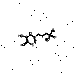 C[C@@H](N[S+]([O-])CCCP(=O)(O)O)C(=O)O